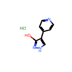 Cl.Oc1n[nH]cc1-c1ccncc1